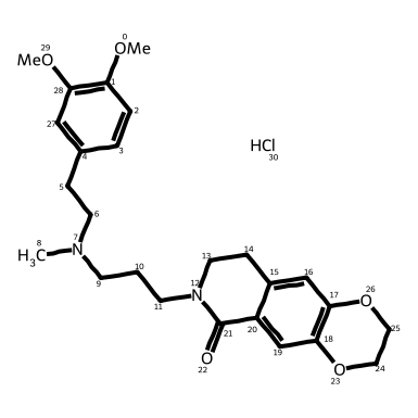 COc1ccc(CCN(C)CCCN2CCc3cc4c(cc3C2=O)OCCO4)cc1OC.Cl